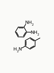 Cc1ccc(N)cc1.Nc1ccccc1N